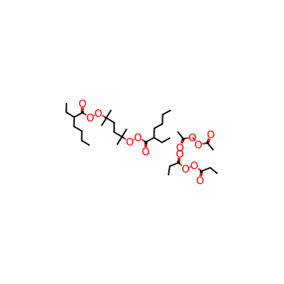 CC(=O)OOC(C)=O.CCC(=O)OOC(=O)CC.CCCCC(CC)C(=O)OOC(C)(C)CCC(C)(C)OOC(=O)C(CC)CCCC